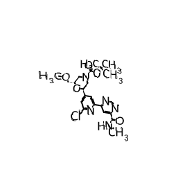 CNC(=O)c1cc(-c2cc([C@@H]3CN(C(=O)OC(C)(C)C)C[C@@H](COC)O3)cc(Cl)n2)ncn1